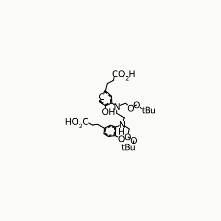 CC(C)(C)OOCN(CCN(COOC(C)(C)C)c1cc(CCC(=O)O)ccc1O)c1cc(CCC(=O)O)ccc1O